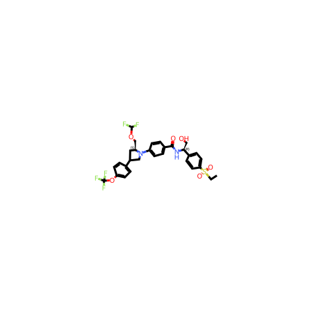 CCS(=O)(=O)c1ccc([C@H](CO)NC(=O)c2ccc(N3CC(c4ccc(OC(F)(F)F)cc4)C[C@H]3COC(F)F)cc2)cc1